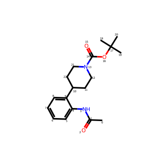 CC(=O)Nc1ccccc1C1CCN(C(=O)OC(C)(C)C)CC1